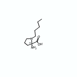 CCCCCN1CCC[C@@]1(N)C(=O)O